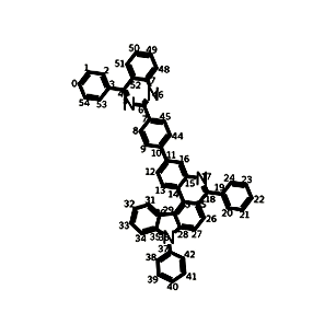 c1ccc(-c2nc(-c3ccc(-c4ccc5c(c4)nc(-c4ccccc4)c4ccc6c(c7ccccc7n6-c6ccccc6)c45)cc3)nc3ccccc23)cc1